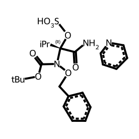 CC(C)[C@@](OS(=O)(=O)O)(C(N)=O)N(OCc1ccccc1)C(=O)OC(C)(C)C.c1ccncc1